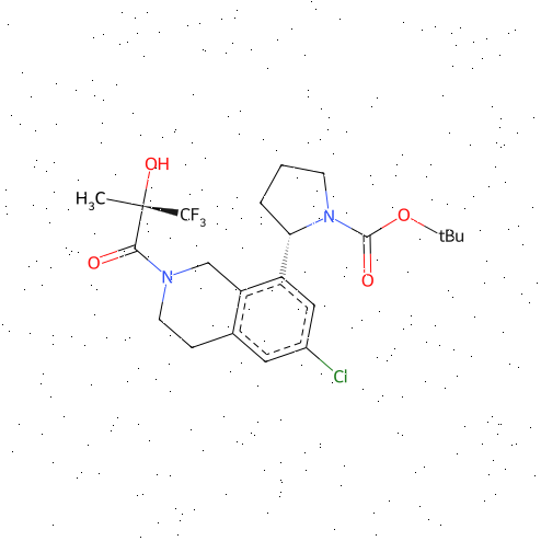 CC(C)(C)OC(=O)N1CCC[C@H]1c1cc(Cl)cc2c1CN(C(=O)[C@](C)(O)C(F)(F)F)CC2